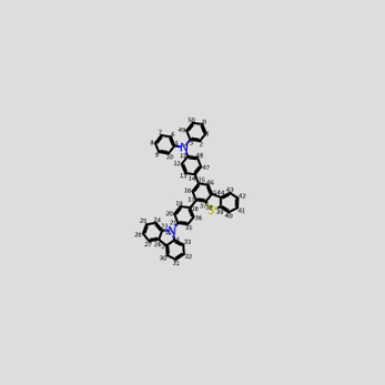 c1ccc(N(c2ccccc2)c2ccc(-c3cc(-c4ccc(-n5c6ccccc6c6ccccc65)cc4)c4sc5ccccc5c4c3)cc2)cc1